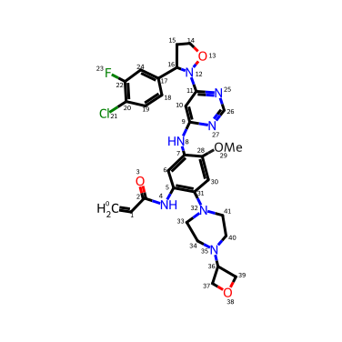 C=CC(=O)Nc1cc(Nc2cc(N3OCCC3c3ccc(Cl)c(F)c3)ncn2)c(OC)cc1N1CCN(C2COC2)CC1